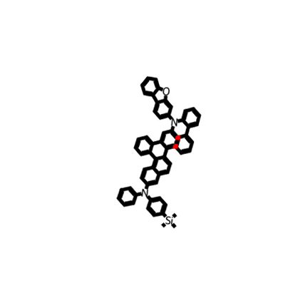 C[Si](C)(C)c1ccc(N(c2ccccc2)c2ccc3c(ccc4c5ccc(N(c6ccc7c(c6)oc6ccccc67)c6ccccc6-c6ccccc6)cc5c5ccccc5c34)c2)cc1